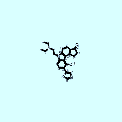 CCN(CC)CCn1c2ccc(-c3cncs3)c(O)c2c2c3c(ccc21)C(=O)CC3